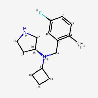 Fc1ccc(C(F)(F)F)c(CN(C2CCC2)[C@H]2CCNC2)c1